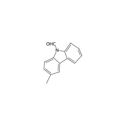 Cc1ccc2c(c1)c1ccccc1n2C=O